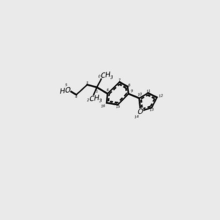 CC(C)(CCO)c1ccc(-c2ccco2)cc1